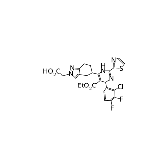 CCOC(=O)C1=C(C2CCc3nn(CC(=O)O)cc3C2)NC(c2nccs2)=NC1c1ccc(F)c(F)c1Cl